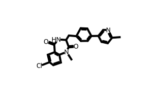 Cc1ccc(-c2ccc(CC3NC(=O)c4cc(Cl)ccc4N(C)C3=O)cc2)cn1